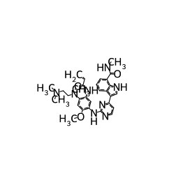 C=CC(=O)Nc1cc(Nc2nccc(-c3c[nH]c4c(C(=O)NC)cccc34)n2)c(OC)cc1N(C)CCN(C)C